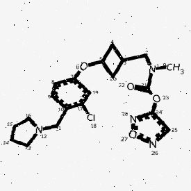 CN(CC1CC(Oc2ccc(CN3CCCC3)c(Cl)c2)C1)C(=O)Oc1cnon1